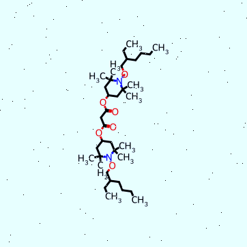 CCCCC(CC)CON1C(C)(C)CC(OC(=O)CC(=O)OC2CC(C)(C)N(OCC(CC)CCCC)C(C)(C)C2)CC1(C)C